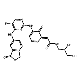 O=C(C=C1C=CC=C(Nc2ncc(F)c(Nc3ccc4c(c3)C(=O)OC4)n2)C1=O)NCC(O)CO